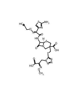 C#CCON=C(C(=O)NC1C(=O)N2CC(CSc3nnnn3CC(=NOC)C(=O)O)(C(=O)O)CS[C@H]12)c1csc(N)n1